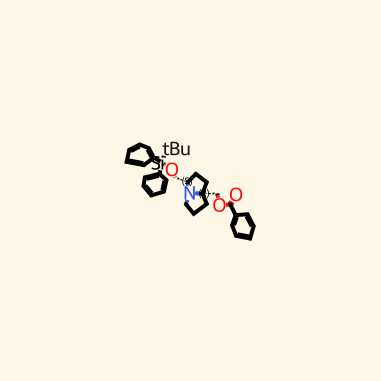 CC(C)(C)[Si](OC[C@@H]1CC[C@@]2(COC(=O)c3ccccc3)CCCN12)(c1ccccc1)c1ccccc1